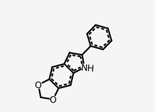 c1ccc(-c2cc3cc4c(cc3[nH]2)OCO4)cc1